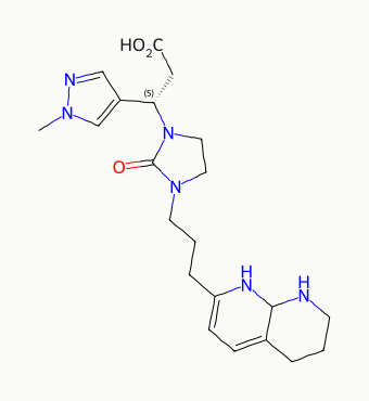 Cn1cc([C@H](CC(=O)O)N2CCN(CCCC3=CC=C4CCCNC4N3)C2=O)cn1